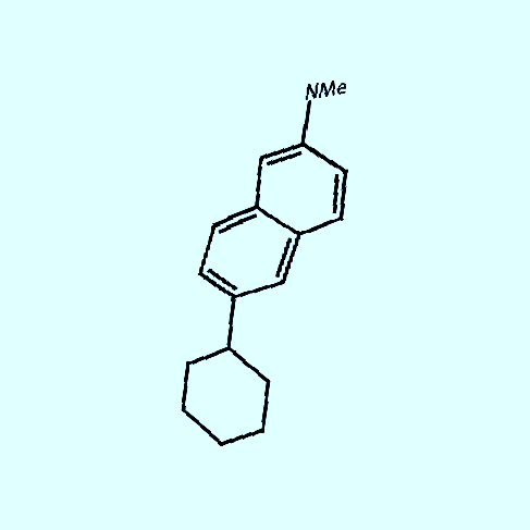 CNc1ccc2cc(C3CCCCC3)ccc2c1